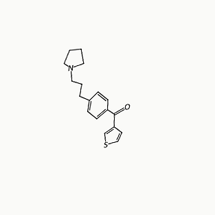 O=C(c1ccc(CCCN2CCCC2)cc1)c1ccsc1